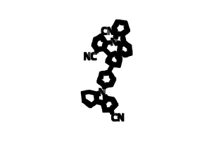 N#Cc1ccc2c(c1)c1c(n2-c2ccc(-c3cccc(-c4c(C#N)ccc(C#N)c4-n4c5ccccc5c5ccccc54)c3)cc2)CCC=C1